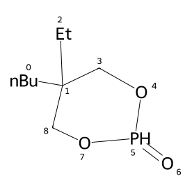 CCCCC1(CC)CO[PH](=O)OC1